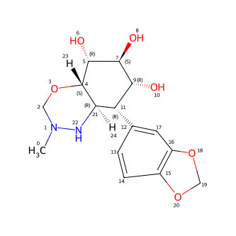 CN1CO[C@@H]2[C@H](O)[C@@H](O)[C@H](O)[C@H](c3ccc4c(c3)OCO4)[C@H]2N1